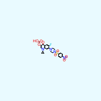 O=C(O)Oc1cn(C2CC2)c2cc(N3CCN(S(=O)(=O)c4ccc([N+](=O)[O-])cc4)CC3)c(F)cc2c1=O